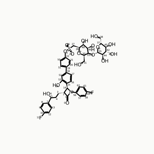 O=C1[C@H](CC[C@H](O)c2ccc(F)cc2)[C@@H](c2ccc(-c3ccc(OS(=O)(=O)C[C@@H]4O[C@H](CO)C(O[C@@H]5O[C@H](CO)[C@@H](O)[C@H](O)[C@H]5O)[C@H](O)[C@H]4O)cc3)cc2O)N1c1ccc(F)cc1